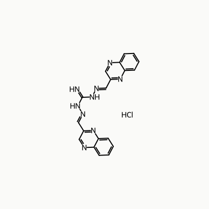 Cl.N=C(NN=Cc1cnc2ccccc2n1)NN=Cc1cnc2ccccc2n1